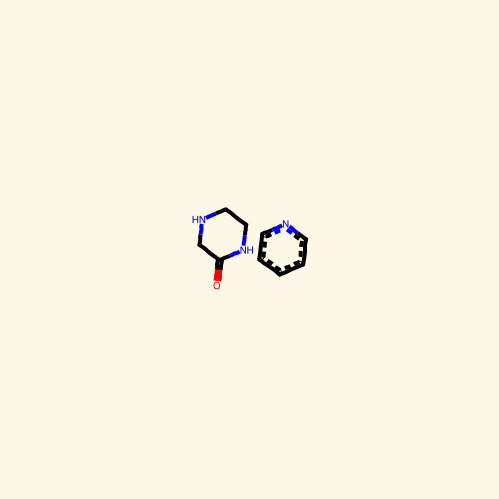 O=C1CNCCN1.c1ccncc1